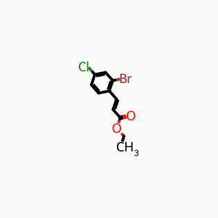 CCOC(=O)/C=C/c1ccc(Cl)cc1Br